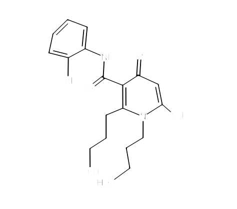 CCCCc1c(C(=O)Nc2ccccc2Cl)c(=O)cc(C)n1CCCC